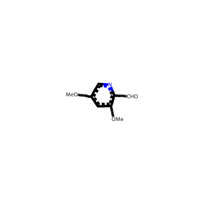 COc1cnc(C=O)c(OC)c1